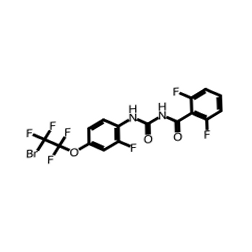 O=C(NC(=O)c1c(F)cccc1F)Nc1ccc(OC(F)(F)C(F)(F)Br)cc1F